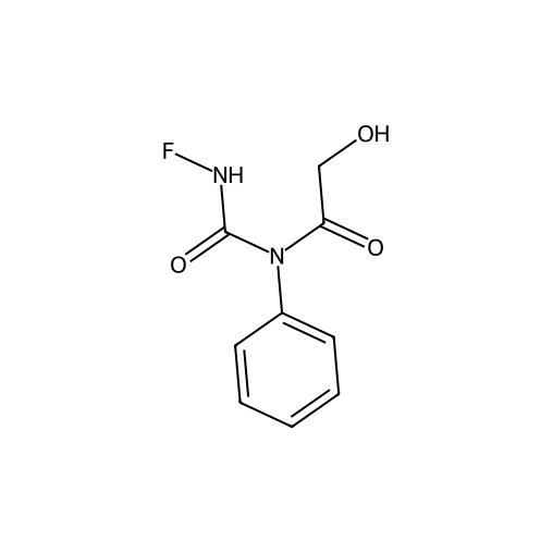 O=C(CO)N(C(=O)NF)c1ccccc1